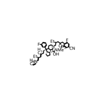 C=C(Cc1c(F)cc(C#N)cc1F)CC(CC)CN1CCC([C@@](CC/C(C)=C/C(=C/N/C=C\C)CC)(c2cccc(F)c2)[C@H]2CCC[C@@H]2OC(O)NC)CC1